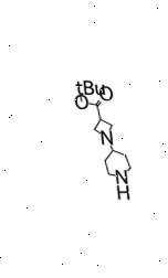 CC(C)(C)OC(=O)C1CN(C2CCNCC2)C1